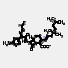 CN(C)CC[N+](C)(C)C/C=C/C1=C(C(=O)[O-])N2C(=O)[C@@H](NC(=O)/C(=N\OCF)c3nsc(N)n3)[C@@H]2SC1